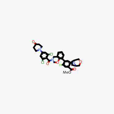 COC(=O)c1cc(F)c(-c2cccc3c2OCN(C(=O)c2c(Cl)cc(N4CCC(=O)CC4)cc2Cl)C3)cc1N1C2CCC1COC2